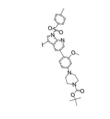 COc1cc(N2CCN(C(=O)OC(C)(C)C)CC2)ccc1-c1cnc2c(c1)c(I)cn2S(=O)(=O)c1ccc(C)cc1